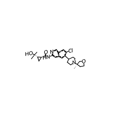 CC(C)(O)[C@H]1C[C@@H]1C(=O)Nc1cc2cc(C3CCN([C@]4(C)CCOC4)CC3)c(Cl)cc2cn1